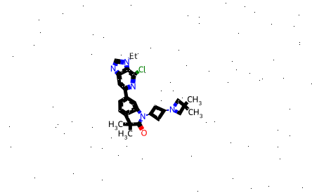 CCn1cnc2cc(-c3ccc4c(c3)N([C@H]3C[C@@H](N5CC(C)(C)C5)C3)C(=O)C4(C)C)nc(Cl)c21